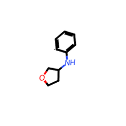 [c]1ccccc1NC1CCOC1